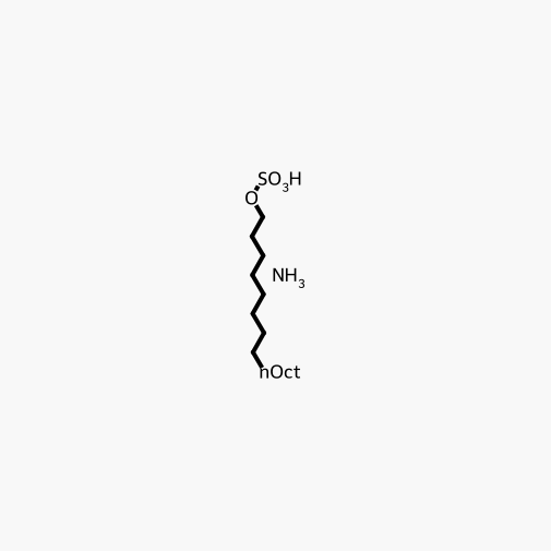 CCCCCCCCCCCCCCCCOS(=O)(=O)O.N